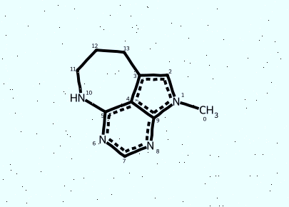 Cn1cc2c3c(ncnc31)NCCC2